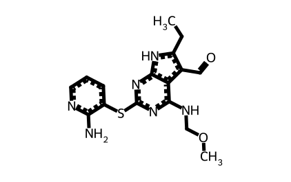 CCc1[nH]c2nc(Sc3cccnc3N)nc(NCOC)c2c1C=O